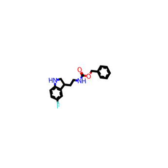 O=C(NCCC1CNc2ccc(F)cc21)OCc1ccccc1